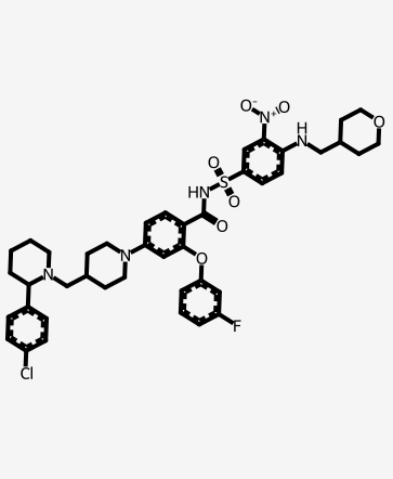 O=C(NS(=O)(=O)c1ccc(NCC2CCOCC2)c([N+](=O)[O-])c1)c1ccc(N2CCC(CN3CCCCC3c3ccc(Cl)cc3)CC2)cc1Oc1cccc(F)c1